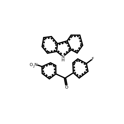 O=C(c1ccc(F)cc1)c1ccc([N+](=O)[O-])cc1.c1ccc2c(c1)[nH]c1ccccc12